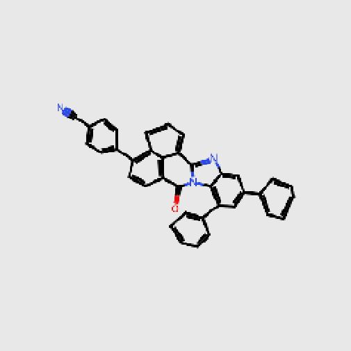 N#Cc1ccc(-c2ccc3c(=O)n4c(nc5cc(-c6ccccc6)cc(-c6ccccc6)c54)c4cccc2c34)cc1